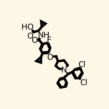 O=C(N[C@H](C(=O)O)C1CC1)c1cc(C2CC2)c(OCC2CCN([C@H](c3ccccc3)c3cc(Cl)cc(Cl)c3)CC2)cc1F